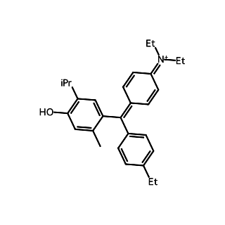 CCc1ccc(C(=C2C=CC(=[N+](CC)CC)C=C2)c2cc(C(C)C)c(O)cc2C)cc1